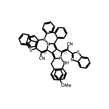 COc1ccc(Cc2c3/c(=C(\C#N)c4nc5ccccc5s4)n(B(c4ccccc4)c4ccccc4)c(-c4ccccc4C)c3/c(=C(\C#N)c3nc4ccccc4s3)n2Bc2ccccc2)cc1